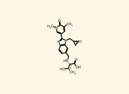 Cc1cc(-c2nc3ccc(CN[C@H](C(=O)O)[C@@H](C)O)cc3n2CC2CC2)cn(C)c1=O.Cl